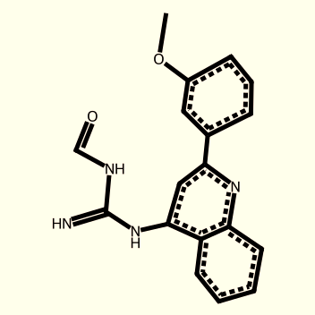 COc1cccc(-c2cc(NC(=N)NC=O)c3ccccc3n2)c1